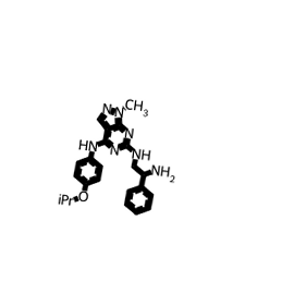 CC(C)Oc1ccc(Nc2nc(NCC(N)c3ccccc3)nc3c2cnn3C)cc1